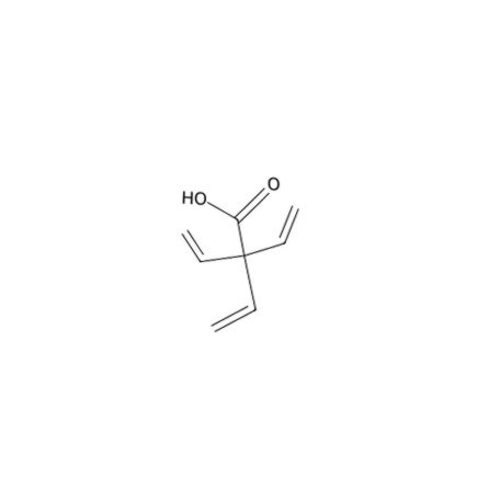 C=CC(C=C)(C=C)C(=O)O